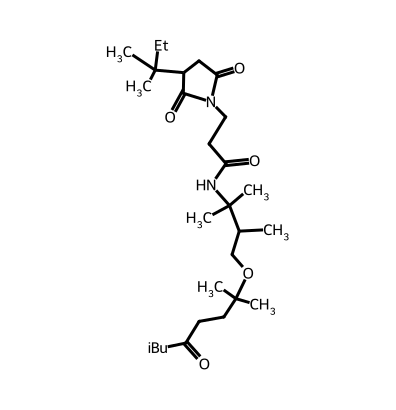 CCC(C)C(=O)CCC(C)(C)OCC(C)C(C)(C)NC(=O)CCN1C(=O)CC(C(C)(C)CC)C1=O